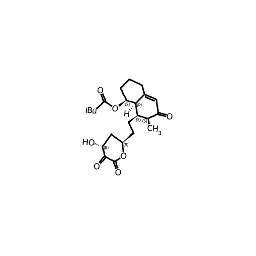 CCC(C)C(=O)O[C@H]1CCCC2=CC(=O)[C@@H](C)[C@@H](CC[C@@H]3C[C@@H](O)C(=O)C(=O)O3)[C@H]21